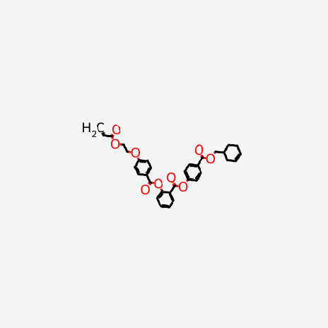 C=CC(=O)OCCOc1ccc(C(=O)Oc2ccccc2C(=O)Oc2ccc(C(=O)OCC3CC=CCC3)cc2)cc1